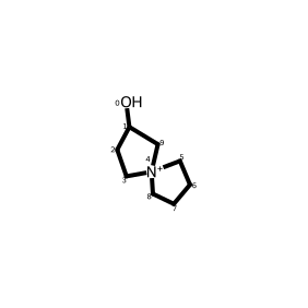 OC1CC[N+]2(CCCC2)C1